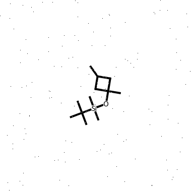 CC1CC(C)(O[Si](C)(C)C(C)(C)C)C1